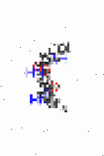 Cc1ccccc1-c1cc2ccc(S(=O)(=O)N[C@H]3CC[C@H](C(=O)N4CCN[C@@H](C(F)(F)F)C4)CC3)cc2[nH]1